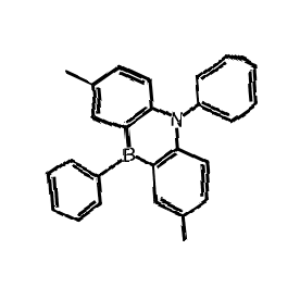 Cc1ccc2c(c1)B(c1ccccc1)c1cc(C)ccc1N2c1ccccc1